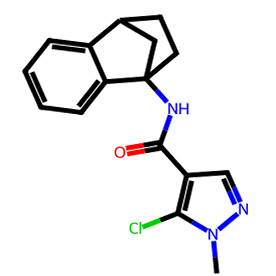 Cn1ncc(C(=O)NC23CCC(C2)c2ccccc23)c1Cl